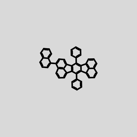 c1ccc(-c2c3c4cccc5cccc(c3c(-c3ccccc3)c3c6ccc(-c7cccc8ccccc78)c7cccc(c23)c76)c54)cc1